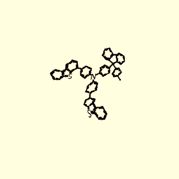 Cc1ccc(C2(c3ccc(N(c4ccc(-c5ccc6sc7ccccc7c6c5)cc4)c4ccc(-c5cccc6c5sc5ccccc56)cc4)cc3)c3ccccc3-c3ccccc32)cc1